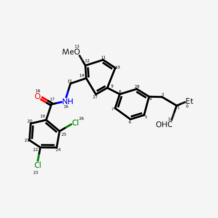 CCC(C=O)Cc1cccc(-c2ccc(OC)c(CNC(=O)c3ccc(Cl)cc3Cl)c2)c1